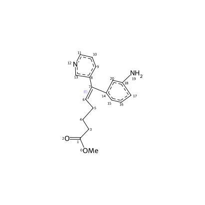 COC(=O)CCC/C=C(/c1cccnc1)c1cccc(N)c1